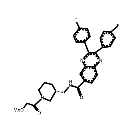 COCC(=O)N1CCC[C@H](CNC(=O)c2ccc3nc(-c4ccc(F)cc4)c(-c4ccc(F)cc4)nc3c2)C1